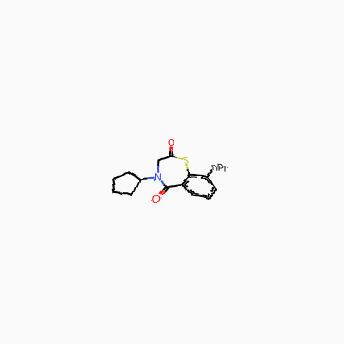 CCCc1cccc2c1SC(=O)CN(C1CCCC1)C2=O